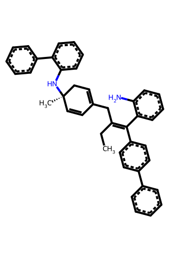 CC/C(CC1=CC[C@](C)(Nc2ccccc2-c2ccccc2)C=C1)=C(\c1ccc(-c2ccccc2)cc1)c1ccccc1N